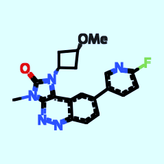 CO[C@H]1C[C@@H](n2c(=O)n(C)c3nnc4ccc(-c5ccc(F)nc5)cc4c32)C1